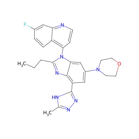 CCCc1nc2c(-c3nnc(C)[nH]3)cc(N3CCOCC3)cc2n1-c1ccnc2cc(F)ccc12